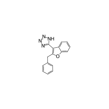 c1ccc(Cc2oc3ccccc3c2-c2nnn[nH]2)cc1